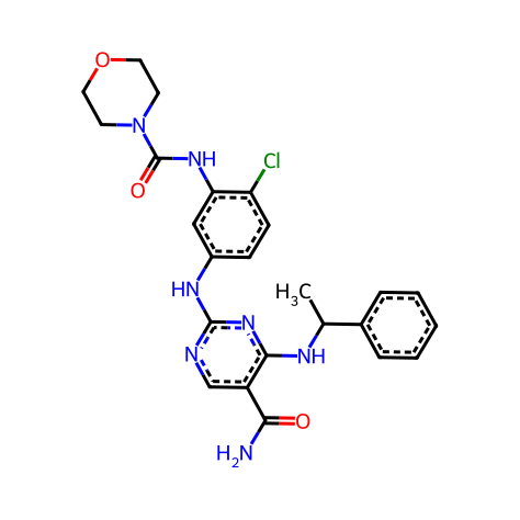 CC(Nc1nc(Nc2ccc(Cl)c(NC(=O)N3CCOCC3)c2)ncc1C(N)=O)c1ccccc1